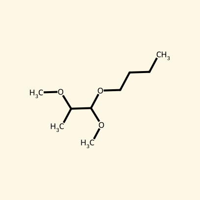 CCCCOC(OC)C(C)OC